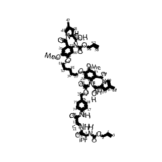 C=CCOC(=O)N[C@@H](C(=O)N[C@H](C)C(=O)Nc1ccc(COC(=O)N2c3cc(OCCCCCOc4cc5c(cc4OC)C(=O)N4C=C(C)C[C@H]4[C@H](O)N5C(=O)OCC=C)c(OC)cc3C(=O)N3C=C(C)C[C@H]3[C@@H]2O)cc1)C(C)C